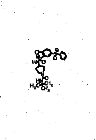 CC(C)(C)NC(=O)N1CCC(NS(=O)(=O)c2cc(S(=O)(=O)c3ccccc3)ccc2Cl)CC1